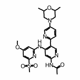 COc1cc(Nc2cc(NC(C)=O)ncc2-c2ccc(N3CC(C)OC(C)C3)cn2)nc(S(C)(=O)=O)c1